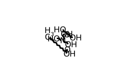 CCCCCCCCCCCC(=O)O.OCCN(CCO)CCO.OCCOCCO